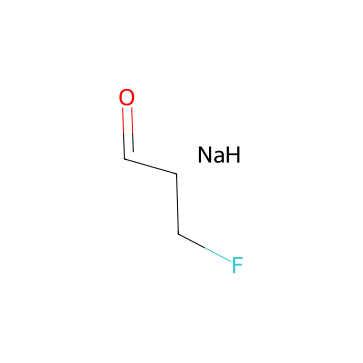 O=CCCF.[NaH]